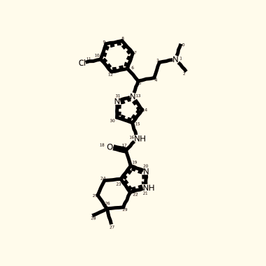 CN(C)CCC(c1cccc(Cl)c1)n1cc(NC(=O)c2n[nH]c3c2CCC(C)(C)C3)cn1